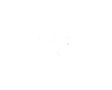 C=CC[C@@H](O)c1nccc(Cl)c1F